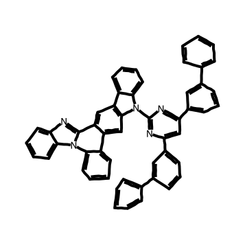 c1ccc(-c2cccc(-c3cc(-c4cccc(-c5ccccc5)c4)nc(-n4c5ccccc5c5cc6c(cc54)c4ccccc4n4c5ccccc5nc64)n3)c2)cc1